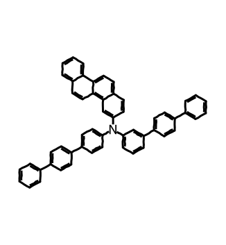 c1ccc(-c2ccc(-c3ccc(N(c4cccc(-c5ccc(-c6ccccc6)cc5)c4)c4ccc5ccc6c7ccccc7ccc6c5c4)cc3)cc2)cc1